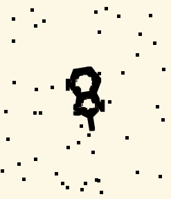 Cc1nc2cccnc2s1